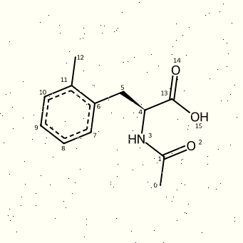 CC(=O)N[C@@H](Cc1ccccc1C)C(=O)O